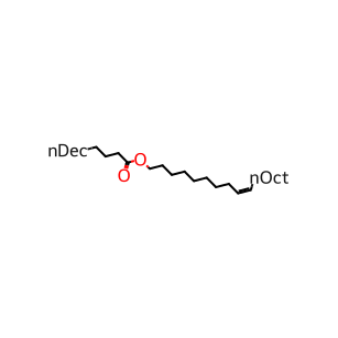 CCCCCCCC/C=C\CCCCCCCCOC(=O)CCCCCCCCCCCCC